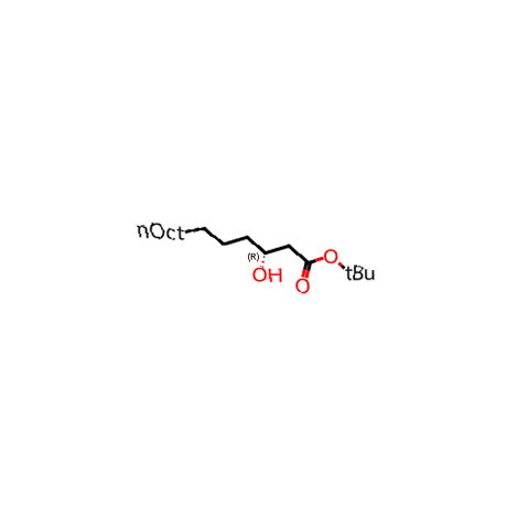 CCCCCCCCCCC[C@@H](O)CC(=O)OC(C)(C)C